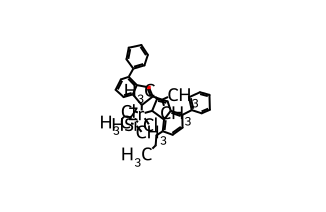 CCCc1ccc(-c2ccccc2)c2c1[CH]([Zr]([Cl])([Cl])([CH]1C(C(C)C)=Cc3c(-c4ccccc4)cccc31)[SiH](C)C)C(C)=C2